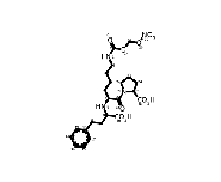 O=C(NCCCCC(NC(CCc1ccccc1)C(=O)O)C(=O)N1CCCC1C(=O)O)OCO[N+](=O)[O-]